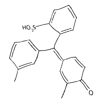 CC1=C/C(=C(\c2cccc(C)c2)c2ccccc2S(=O)(=O)O)C=CC1=O